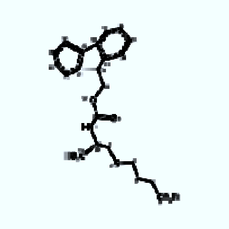 CCOC(=O)CCCSC[C@H](NC(=O)OCC1c2ccccc2-c2ccccc21)C(=O)O